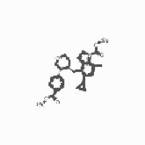 Cc1cc(C2CC2)c(C[C@@H]2CCNC[C@H]2c2ccc(C(=O)OC(C)(C)C)cc2)c2ccn(C(=O)OC(C)(C)C)c12